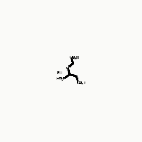 O=C(O)COC(CC(=O)O)C(=O)O.[KH]